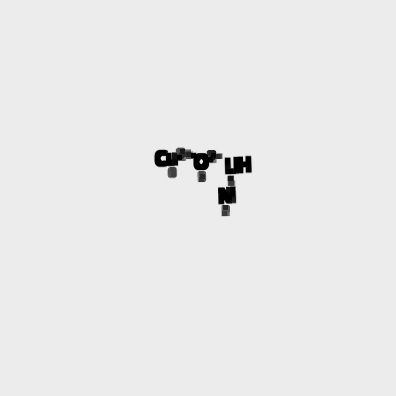 [Cu+2].[LiH].[Ni].[O-2]